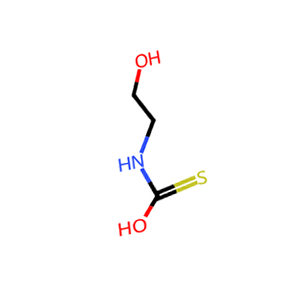 OCCNC(O)=S